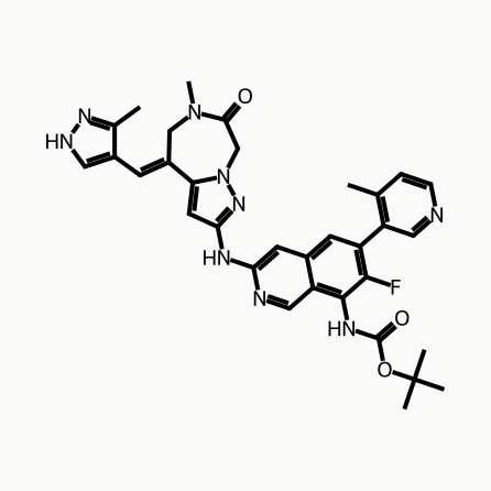 Cc1ccncc1-c1cc2cc(Nc3cc4n(n3)CC(=O)N(C)C/C4=C\c3c[nH]nc3C)ncc2c(NC(=O)OC(C)(C)C)c1F